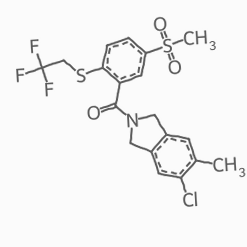 Cc1cc2c(cc1Cl)CN(C(=O)c1cc(S(C)(=O)=O)ccc1SCC(F)(F)F)C2